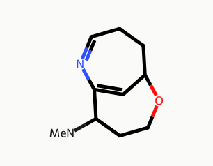 CNC1CCOC2C=C1N=CCC2